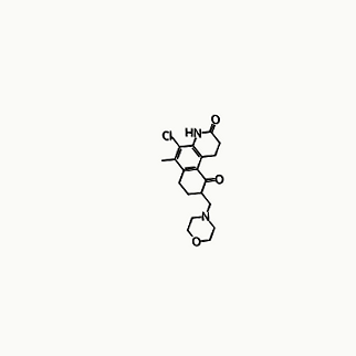 Cc1c(Cl)c2c(c3c1CCC(CN1CCOCC1)C3=O)CCC(=O)N2